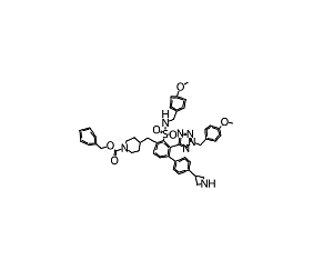 COc1ccc(CNS(=O)(=O)c2c(CC3CCN(C(=O)OCc4ccccc4)CC3)ccc(-c3ccc(C4CNC4)cc3)c2-c2nnn(Cc3ccc(OC)cc3)n2)cc1